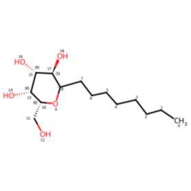 CCCCCCCC[C]1O[C@H](CO)[C@H](O)[C@H](O)[C@H]1O